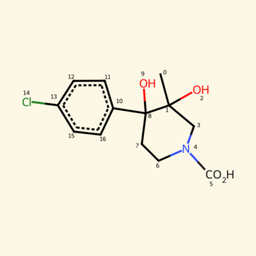 CC1(O)CN(C(=O)O)CCC1(O)c1ccc(Cl)cc1